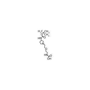 CC(C)(C)OC(=O)NC1CCN(CCOCCNC(=O)O)C1